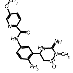 COc1ccc(C(=O)Nc2ccc(P)c(C3C[S+]([O-])N(C)C(=N)N3)c2)nc1